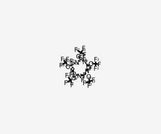 FC(F)(F)OP1(F)=NP(F)(OC(F)(F)F)=NP(F)(OC(F)(F)F)=NP(F)(OC(F)(F)F)=NP(F)(OC(F)(F)F)=N1